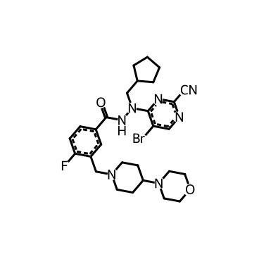 N#Cc1ncc(Br)c(N(CC2CCCC2)NC(=O)c2ccc(F)c(CN3CCC(N4CCOCC4)CC3)c2)n1